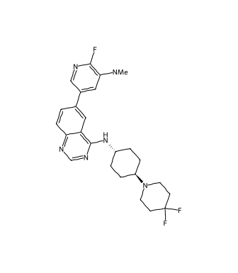 CNc1cc(-c2ccc3ncnc(N[C@H]4CC[C@H](N5CCC(F)(F)CC5)CC4)c3c2)cnc1F